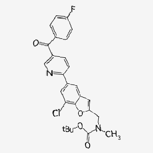 CN(Cc1cc2cc(-c3ccc(C(=O)c4ccc(F)cc4)cn3)cc(Cl)c2o1)C(=O)OC(C)(C)C